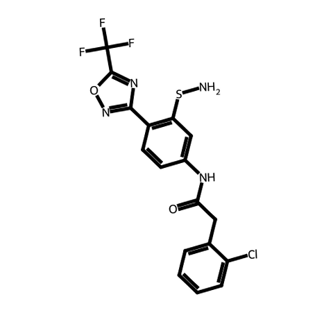 NSc1cc(NC(=O)Cc2ccccc2Cl)ccc1-c1noc(C(F)(F)F)n1